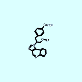 CCCCOc1ccc(CC(COCC)n2cnc3cnc4ccccc4c32)cc1